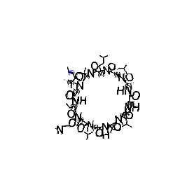 C/C=C/C[C@@H](C)C[C@H]1C(=O)N[C@H](CC)C(=O)N(C)[C@H](COCCN(C)C)C(=O)N(C)[C@@H](CC(C)C)C(=O)N[C@H](C(C)C)C(=O)N(C)[C@H](CC(C)C)C(=O)N[C@H](C)C(=O)N[C@@H](C)C(=O)N(C)[C@@H](CC(C)C)C(=O)N(C)[C@H](CCC(C)C)C(=O)N(C)[C@H](C(C)C)C(=O)N1C